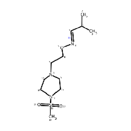 CC(C)/C=N/OCCN1CCN(S(C)(=O)=O)CC1